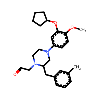 COc1ccc(N2CCN(CC=O)C(Cc3cccc(C)c3)C2)cc1OC1CCCC1